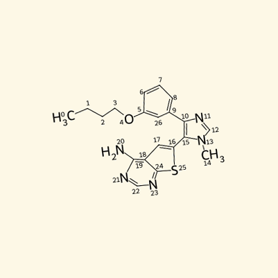 CCCCOc1cccc(-c2ncn(C)c2-c2cc3c(N)ncnc3s2)c1